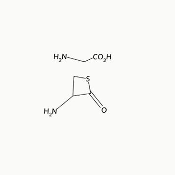 NC1CSC1=O.NCC(=O)O